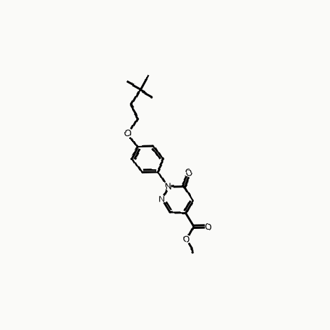 COC(=O)c1cnn(-c2ccc(OCCC(C)(C)C)cc2)c(=O)c1